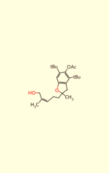 CC(=O)Oc1c(C(C)(C)C)cc2c(c1C(C)(C)C)CC(C)(CCC=C(C)CO)O2